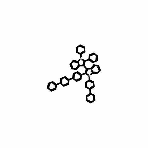 c1ccc(-c2ccc(-c3ccc(-c4c(-c5c(-c6ccccc6)n(-c6ccccc6)c6ccccc56)c5ccccc5n4-c4ccc(-c5ccccc5)cc4)cc3)cc2)cc1